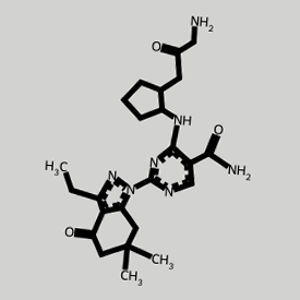 CCc1nn(-c2ncc(C(N)=O)c(NC3CCCC3CC(=O)CN)n2)c2c1C(=O)CC(C)(C)C2